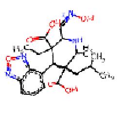 CCC1(C(=O)O)C(/C=N\O)NC(C)C(CC(C)C)(C(=O)O)C1c1cccc2nonc12